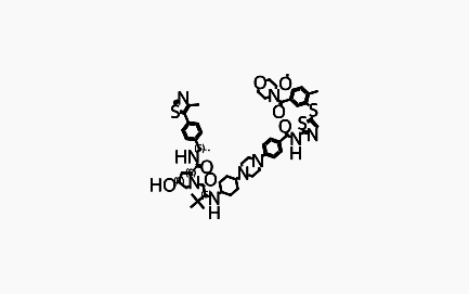 COc1cc(C)c(Sc2cnc(NC(=O)c3ccc(N4CCN(C5CCC(N[C@H](C(=O)N6C[C@H](O)C[C@H]6C(=O)N[C@@H](C)c6ccc(-c7scnc7C)cc6)C(C)(C)C)CC5)CC4)cc3)s2)cc1C(=O)N1CCOCC1